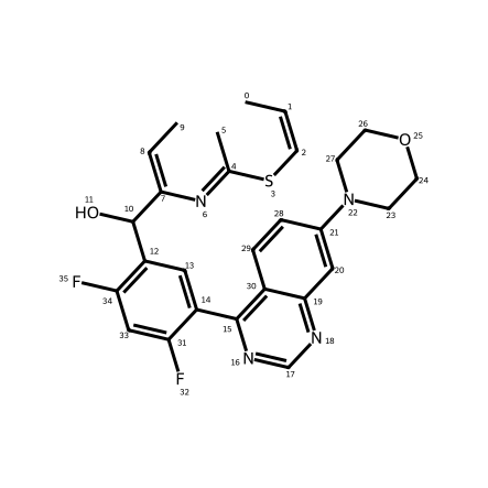 C/C=C\S/C(C)=N/C(=C\C)C(O)c1cc(-c2ncnc3cc(N4CCOCC4)ccc23)c(F)cc1F